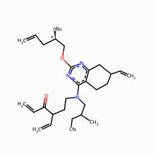 C=CC[C@@H](CCCC)COc1nc2c(c(N(CCC(C=C)C(=O)C=C)CC(C)CC#N)n1)CCC(C=C)C2